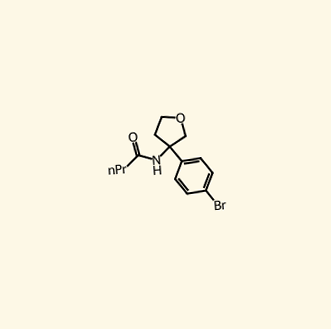 CCCC(=O)NC1(c2ccc(Br)cc2)CCOC1